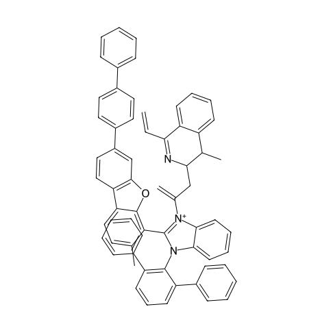 C=CC1=NC(CC(=C)[n+]2c(-c3c(C)ccc4c3oc3cc(-c5ccc(-c6ccccc6)cc5)ccc34)n(-c3c(-c4ccccc4)cccc3-c3ccccc3)c3ccccc32)C(C)c2ccccc21